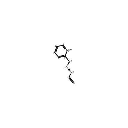 C=CN=NSc1ccccn1